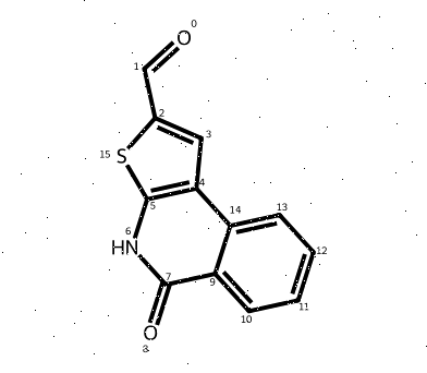 O=Cc1cc2c([nH]c(=O)c3ccccc32)s1